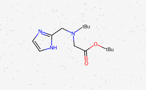 CC(C)(C)OC(=O)CN(Cc1ncc[nH]1)C(C)(C)C